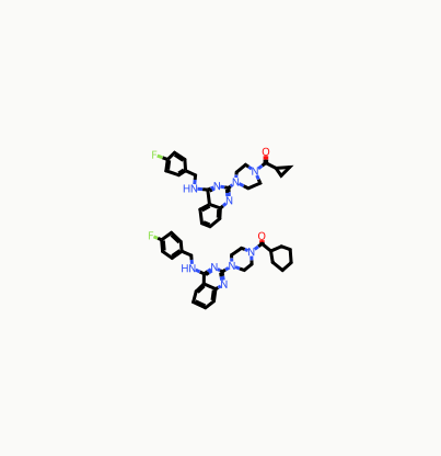 O=C(C1CC1)N1CCN(c2nc(NCc3ccc(F)cc3)c3ccccc3n2)CC1.O=C(C1CCCCC1)N1CCN(c2nc(NCc3ccc(F)cc3)c3ccccc3n2)CC1